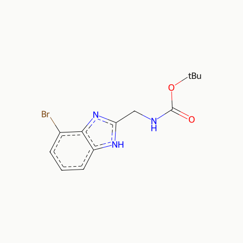 CC(C)(C)OC(=O)NCc1nc2c(Br)cccc2[nH]1